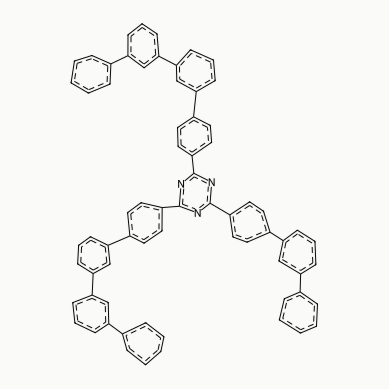 c1ccc(-c2cccc(-c3ccc(-c4nc(-c5ccc(-c6cccc(-c7cccc(-c8ccccc8)c7)c6)cc5)nc(-c5ccc(-c6cccc(-c7cccc(-c8ccccc8)c7)c6)cc5)n4)cc3)c2)cc1